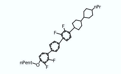 CCCCCOc1ccc(-c2ccc(-c3ccc(C4CCC(C5CCC(CCC)CC5)CC4)c(F)c3F)cc2)c(F)c1F